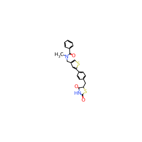 CN(Cc1csc(-c2ccc(CC3SC(=O)NC3=O)cc2)c1)C(=O)c1ccccc1